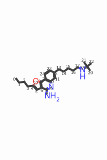 CCCCc1cc2c(N)nc3cc(CCCCCNC(C)(C)C)ccc3c2o1